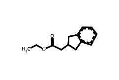 CCOC(=O)CC1Cc2ccccc2C1